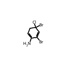 NC1=CCC(Cl)(Br)C=C1Br